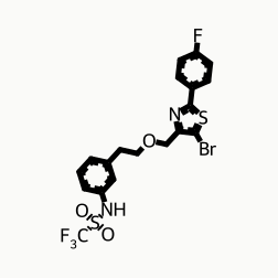 O=S(=O)(Nc1cccc(CCOCc2nc(-c3ccc(F)cc3)sc2Br)c1)C(F)(F)F